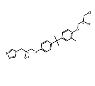 Cc1cc(C(C)(C)c2ccc(OC[C@@H](O)Cn3ccnc3)cc2)ccc1OC[C@H](O)CCl